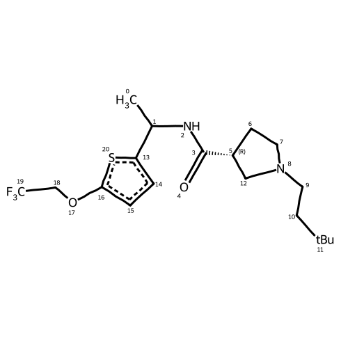 CC(NC(=O)[C@@H]1CCN(CCC(C)(C)C)C1)c1ccc(OCC(F)(F)F)s1